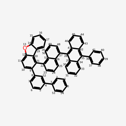 c1ccc(-c2cccc(-c3ccc4oc5ccccc5c4c3-c3cccc4c(-c5c6ccccc6c(-c6ccccc6)c6ccccc56)cccc34)c2)cc1